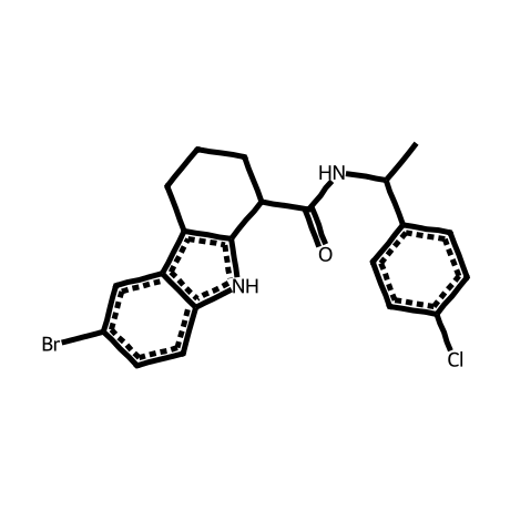 CC(NC(=O)C1CCCc2c1[nH]c1ccc(Br)cc21)c1ccc(Cl)cc1